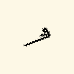 CCCCCCCCCCCCCCCCN1C=CN(Cc2ccccc2)C1CCCC